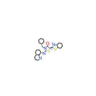 CN1/C(=C2/SC(=Nc3cccc4cccnc34)N(Cc3ccccc3)C2=O)Sc2ccccc21